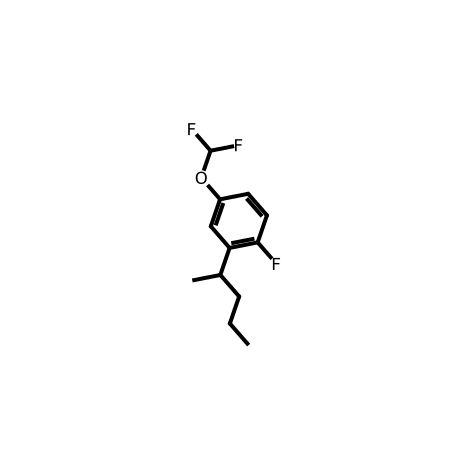 CCCC(C)c1cc(OC(F)F)ccc1F